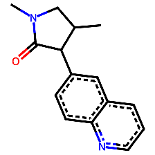 CC1CN(C)C(=O)C1c1ccc2ncccc2c1